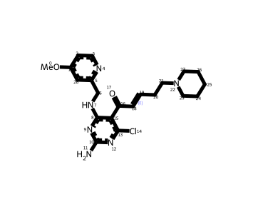 COc1ccnc(CNc2nc(N)nc(Cl)c2C(=O)/C=C/CCN2CCCCC2)c1